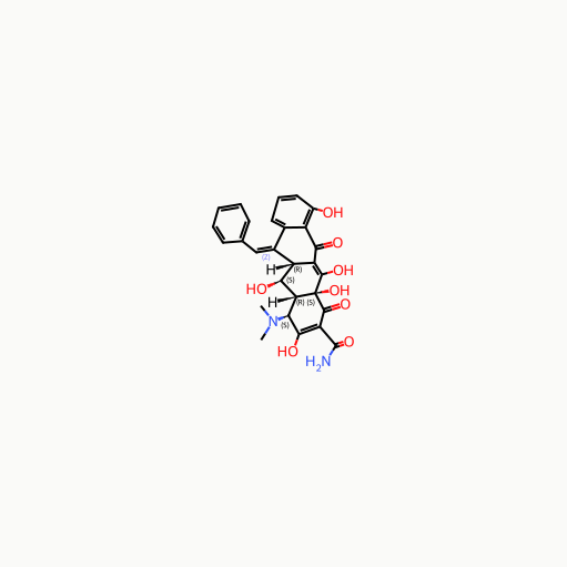 CN(C)[C@@H]1C(O)=C(C(N)=O)C(=O)[C@@]2(O)C(O)=C3C(=O)c4c(O)cccc4/C(=C\c4ccccc4)[C@H]3[C@H](O)[C@@H]12